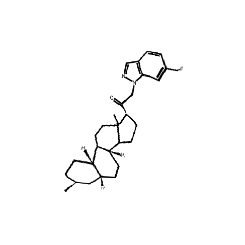 C[C@H]1CC[C@@H]2C3CCC4(C)C(CC[C@@H]4C(=O)Cn4ncc5ccc(F)cc54)[C@@H]3CC[C@@H]2C1